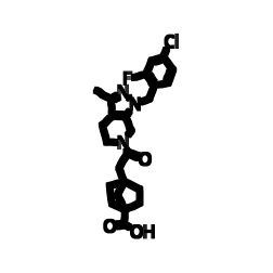 Cc1nn(Cc2ccc(Cl)cc2F)c2c1CCN(C(=O)CC13CCC(C(=O)O)(CC1)C3)C2